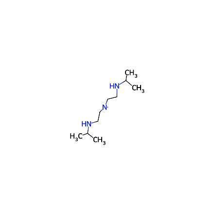 CC(C)NCC[N]CCNC(C)C